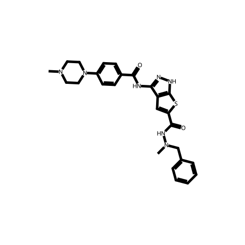 CN1CCN(c2ccc(C(=O)Nc3n[nH]c4sc(C(=O)NN(C)Cc5ccccc5)cc34)cc2)CC1